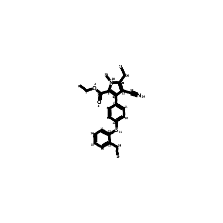 CCOC(=O)c1c(-c2ccc(Sc3ccccc3CC)cc2)c(C#N)c(CC)n1C